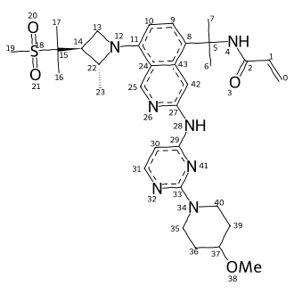 C=CC(=O)NC(C)(C)c1ccc(N2C[C@H](C(C)(C)S(C)(=O)=O)[C@H]2C)c2cnc(Nc3ccnc(N4CCC(OC)CC4)n3)cc12